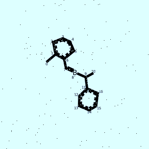 Cc1ccccc1C=BC(C)c1ccccc1